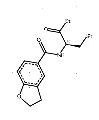 CCC(=O)[C@@H](CC(C)C)NC(=O)c1ccc2c(c1)CCO2